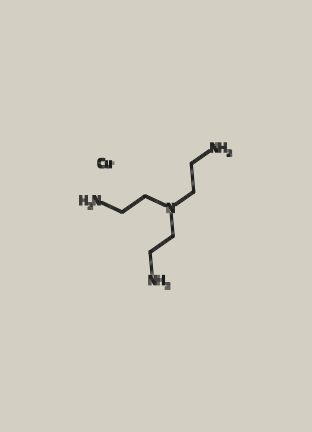 NCCN(CCN)CCN.[Cu]